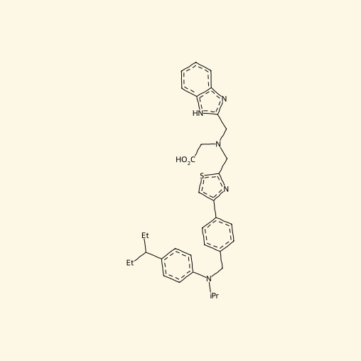 CCC(CC)c1ccc(N(Cc2ccc(-c3csc(CN(CC(=O)O)Cc4nc5ccccc5[nH]4)n3)cc2)C(C)C)cc1